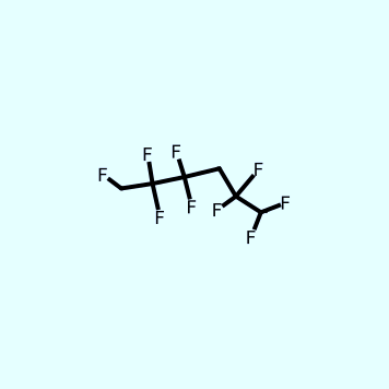 FCC(F)(F)C(F)(F)CC(F)(F)[C](F)F